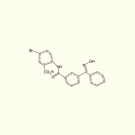 O=C(Nc1ccc(Br)cc1C(=O)O)c1cccc(C(=NO)c2ccccc2)c1